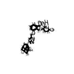 C[C@]12CC3CC4(n5cc(COc6cccc7c6CN(C6CCC(=O)NC6=O)C7=O)nn5)CC31[C@](C)(C4)C2